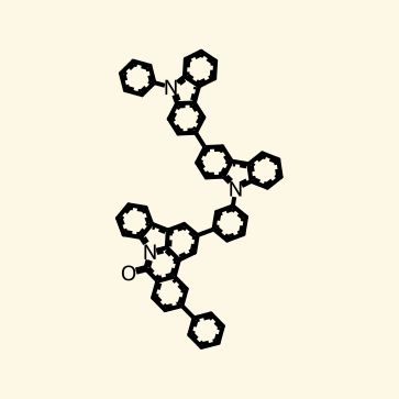 O=c1c2ccc(-c3ccccc3)cc2c2cc(-c3cccc(-n4c5ccccc5c5cc(-c6ccc7c(c6)c6ccccc6n7-c6ccccc6)ccc54)c3)cc3c4ccccc4n1c23